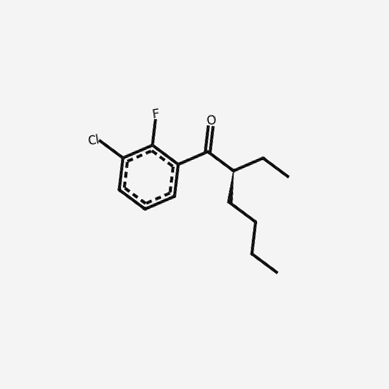 CCCC[C@H](CC)C(=O)c1cccc(Cl)c1F